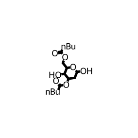 CCCCC(=O)OCC1OC(O)CC(OC(=O)CCCC)C1O